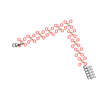 O=S(=O)([O-])[O-].O=S(=O)([O-])[O-].O=S(=O)([O-])[O-].O=S(=O)([O-])[O-].O=S(=O)([O-])[O-].O=S(=O)([O-])[O-].O=S(=O)([O-])[O-].O=S(=O)([O-])[O-].O=S(=O)([O-])[O-].O=S(=O)([O-])[O-].[Cu+2].[Cu+2].[Cu+2].[Cu+2].[Cu+2].[Cu+2].[Cu+2]